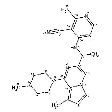 Cc1ccn2nc([C@H](C)Nc3ncnc(N)c3C#N)nc(N3CCN(C)CC3)c12